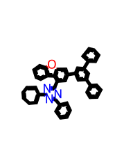 C1=CCC=C(c2nc(-c3ccccc3)nc(-c3cc(-c4cc(-c5ccccc5)cc(-c5ccccc5)c4)cc4oc5ccccc5c34)n2)C=C1